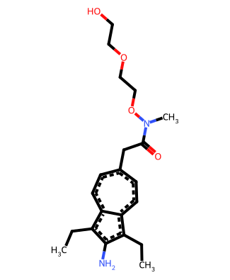 CCc1c2ccc(CC(=O)N(C)OCCOCCO)ccc-2c(CC)c1N